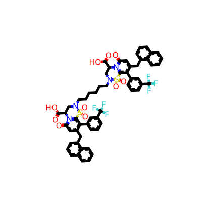 O=C(O)C1CN(CCCCCCN2CC(C(=O)O)n3c(c(-c4cccc(C(F)(F)F)c4)c(Cc4cccc5ccccc45)cc3=O)S2(=O)=O)S(=O)(=O)c2c(-c3cccc(C(F)(F)F)c3)c(Cc3cccc4ccccc34)cc(=O)n21